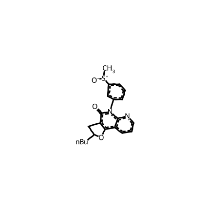 CCCCC1Cc2c(c3cccnc3n(-c3cccc([S+](C)[O-])c3)c2=O)O1